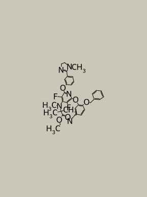 CCOC(=O)C(C)(C)N(C)c1c(F)c(Oc2cccc(C3=NCCN3C)c2)nc(Oc2cc(C#N)ccc2OCc2ccccc2)c1F